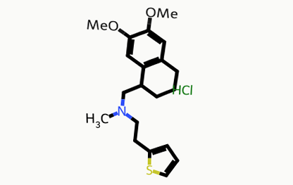 COc1cc2c(cc1OC)C(CN(C)CCc1cccs1)CCC2.Cl